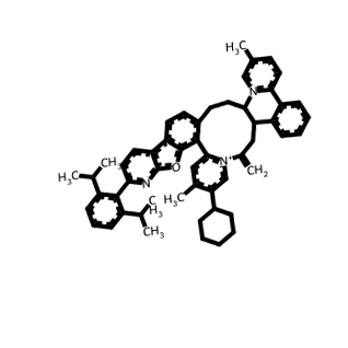 C=C1CC2c3ccccc3-c3ccc(C)c[n+]3C2CCc2ccc3c(oc4nc(-c5c(C(C)C)cccc5C(C)C)ccc43)c2-c2cc(C)c(C3CCCCC3)c[n+]21